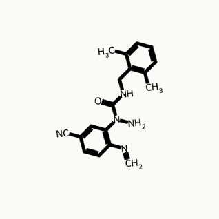 C=Nc1ccc(C#N)cc1N(N)C(=O)NCc1c(C)cccc1C